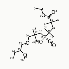 CCOC(=O)C(C)(C)CC(C)(C)P(O)(=C=O)CC(C)(C)COCC(CC)OC